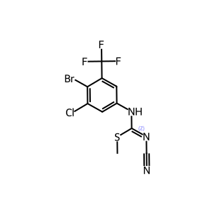 CS/C(=N\C#N)Nc1cc(Cl)c(Br)c(C(F)(F)F)c1